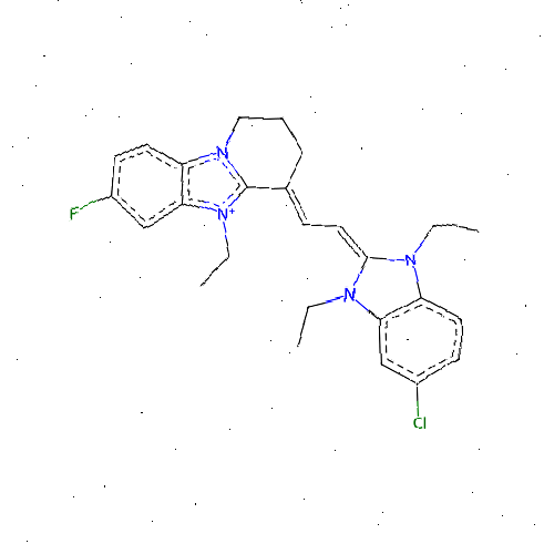 CCN1C(=CC=C2CCCn3c2[n+](CC)c2cc(F)ccc23)N(CC)c2cc(Cl)ccc21